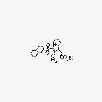 CCOC(=O)Cc1c(C)c(S(=O)(=O)c2ccc3ccccc3c2)n2ccccc12